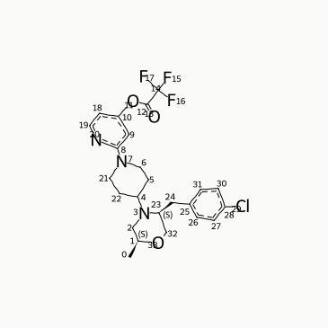 C[C@H]1CN(C2CCN(c3cc(OC(=O)C(F)(F)F)ccn3)CC2)[C@@H](Cc2ccc(Cl)cc2)CO1